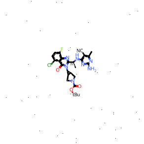 Cc1nc(N)nc(N[C@@H](C)c2nc3c(F)ccc(Cl)c3c(=O)n2C2C3CN(C(=O)OC(C)(C)C)CC32)c1C#N